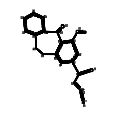 COc1cc(C(=O)C=[N+]=[N-])cc2c1C(=O)c1ccccc1CC2